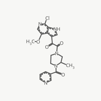 COc1cnc(Cl)c2[nH]cc(C(=O)C(=O)N3CCN(C(=O)c4cccnc4)C(C)C3)c12